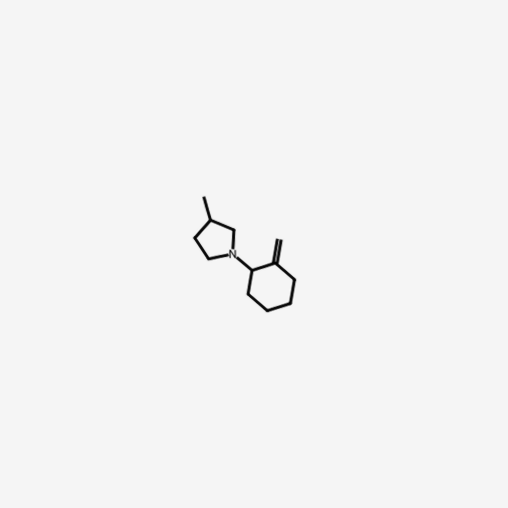 C=C1CCCCC1N1CCC(C)C1